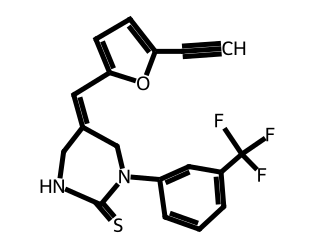 C#Cc1ccc(C=C2CNC(=S)N(c3cccc(C(F)(F)F)c3)C2)o1